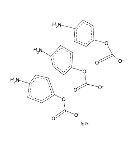 Nc1ccc(OC(=O)[O-])cc1.Nc1ccc(OC(=O)[O-])cc1.Nc1ccc(OC(=O)[O-])cc1.[In+3]